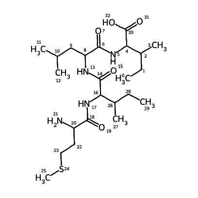 CCC(C)C(NC(=O)C(CC(C)C)NC(=O)C(NC(=O)C(N)CCSC)C(C)CC)C(=O)O